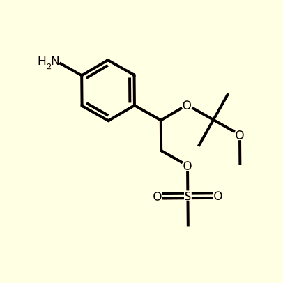 COC(C)(C)OC(COS(C)(=O)=O)c1ccc(N)cc1